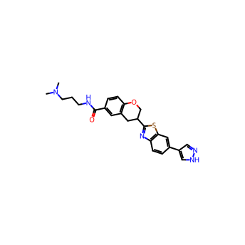 CN(C)CCCNC(=O)c1ccc2c(c1)CC(c1nc3ccc(-c4cn[nH]c4)cc3s1)CO2